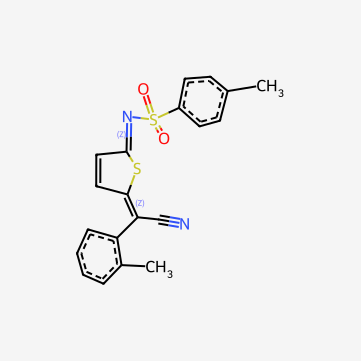 Cc1ccc(S(=O)(=O)/N=C2C=C/C(=C(/C#N)c3ccccc3C)S/2)cc1